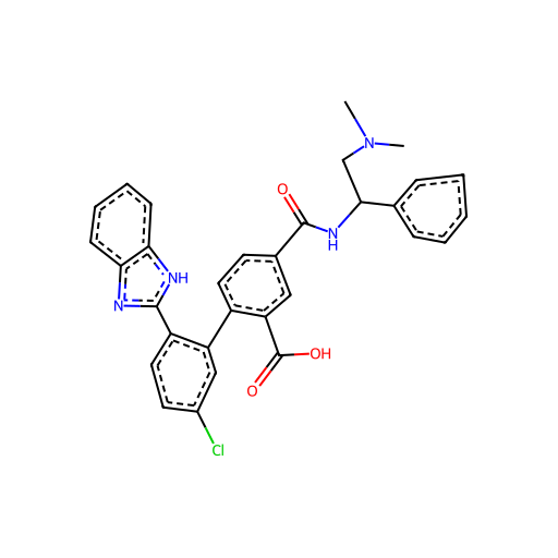 CN(C)CC(NC(=O)c1ccc(-c2cc(Cl)ccc2-c2nc3ccccc3[nH]2)c(C(=O)O)c1)c1ccccc1